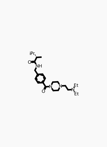 CCN(CC)CCN1CCN(C(=O)c2ccc(CNC(=O)[C@@H](C)C(C)C)cc2)CC1